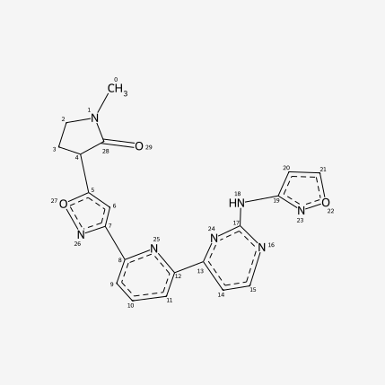 CN1CCC(c2cc(-c3cccc(-c4ccnc(Nc5ccon5)n4)n3)no2)C1=O